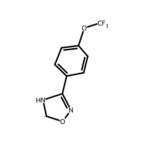 FC(F)(F)Oc1ccc(C2=NO[CH]N2)cc1